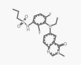 CCCS(=O)(=O)Nc1ccc(F)c(N(CC)c2ccc3ncn(C)c(=O)c3c2)c1F